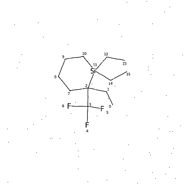 CCC1(C(F)(F)F)CCCC[Si]1(CC)CC